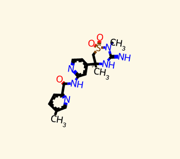 Cc1ccc(C(=O)Nc2cc([C@]3(C)CS(=O)(=O)N(C)C(=N)N3)ccn2)nc1